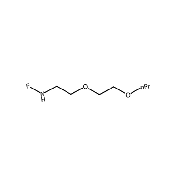 CCCOCCOCCNF